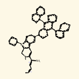 C/C=C\C=C(/N)C1=Cc2c(n(-c3ccccc3)c3ccc(-c4ccc5c(-c6cccc7ccccc67)c6ccccc6c(-c6cccc7ccccc67)c5c4)cc23)CN1